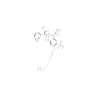 CCCCCCCCc1ccc(N(C(=O)O)C2NC(c3cccnc3)=C(F)S2)cc1C(F)(F)F